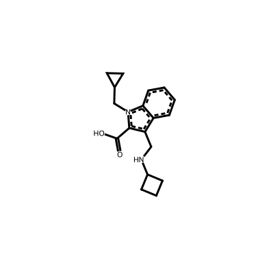 O=C(O)c1c(CNC2CCC2)c2ccccc2n1CC1CC1